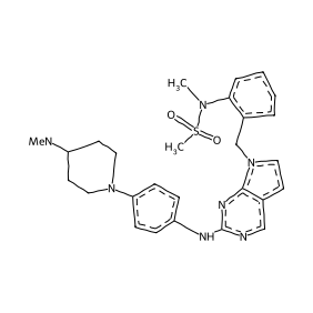 CNC1CCN(c2ccc(Nc3ncc4ccn(Cc5ccccc5N(C)S(C)(=O)=O)c4n3)cc2)CC1